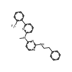 CN(c1cccc(-c2ccccc2C(F)(F)F)n1)c1ccnc(NCCc2ccccc2)n1